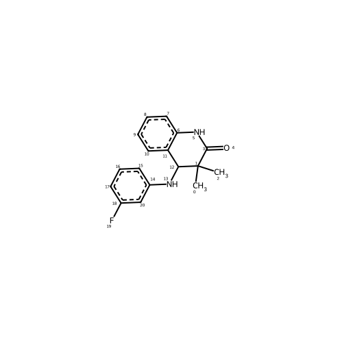 CC1(C)C(=O)Nc2ccccc2C1Nc1cccc(F)c1